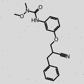 CON(C)C(=O)Nc1cccc(OCC(C#N)Cc2ccccc2)c1